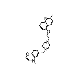 Cc1ccc2c(OCCN3CCN(Cc4ccc5c(c4)N(C)C=CO5)CC3)cccc2n1